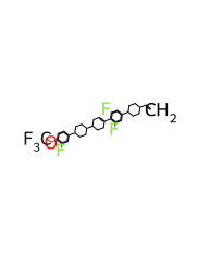 C=CC1CCC(c2cc(F)c(C3=CCC(C4CCC(c5ccc(OC(F)(F)F)c(F)c5)CC4)CC3)c(F)c2)CC1